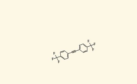 FC(F)(F)c1ccc(C#Cc2ccc(C(F)(F)F)cc2)cc1